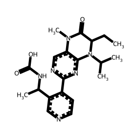 CCC1C(=O)N(C)c2cnc(-c3ccncc3C(C)NC(=O)O)nc2N1C(C)C